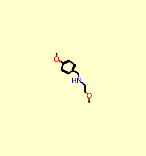 COCCNCc1ccc(OC)cc1